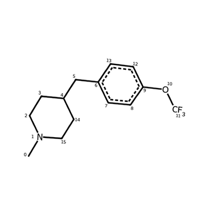 CN1CCC(Cc2ccc(OC(F)(F)F)cc2)CC1